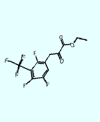 CCOC(=O)C(=O)Cc1cc(F)c(F)c(C(F)(F)F)c1F